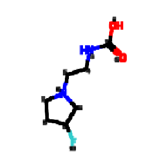 O=C(O)NCCN1CCC(F)C1